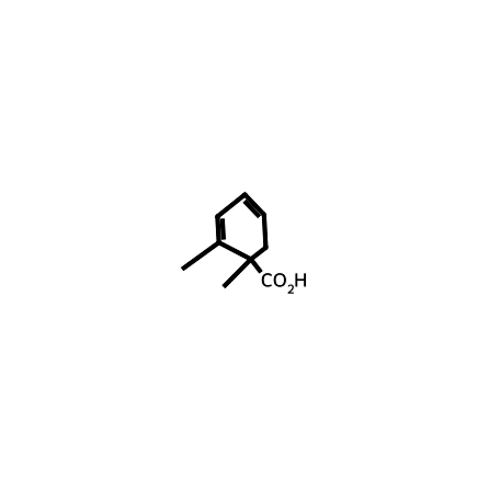 CC1=CC=CCC1(C)C(=O)O